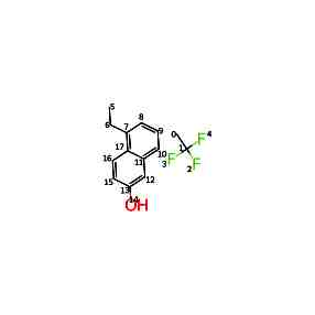 CC(F)(F)F.CCc1cccc2cc(O)ccc12